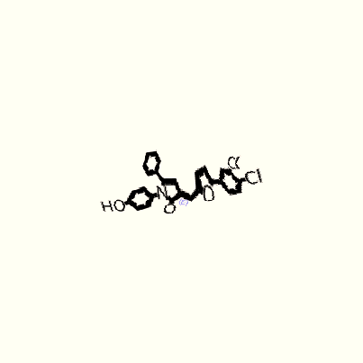 O=C1/C(=C/c2ccc(-c3ccc(Cl)c(Cl)c3)o2)C=C(c2ccccc2)N1c1ccc(O)cc1